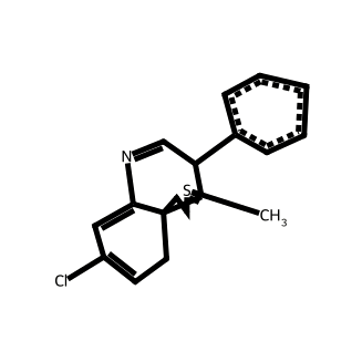 CS1=C2C(c3ccccc3)C=NC3=CC(Cl)=CCC32CC1